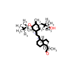 C=C1[C@H](CC(C)(C)[Si](C)(C)O)C/C(=C\C=C2/CCC[C@]3(C)[C@@H]([C@H](C)C=O)CC[C@@H]23)C[C@H]1O[Si](C)(C)C(C)(C)C